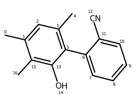 Cc1cc(C)c(-c2ccccc2C#N)c(O)c1C